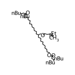 CCCCC(CCCC)CC(=O)OCCCCCCCCCCC(CCCCCCCCCCOC(=O)CC(CCCC)CCCC)COCCCN(C)CC